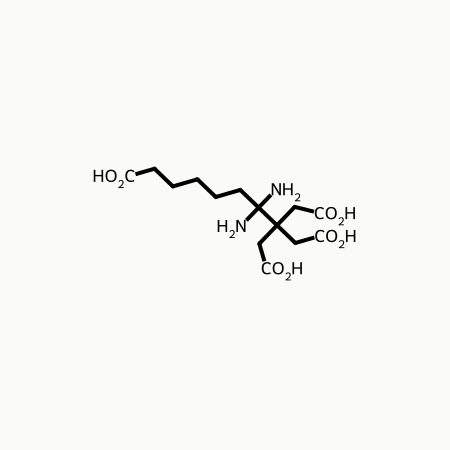 NC(N)(CCCCCC(=O)O)C(CC(=O)O)(CC(=O)O)CC(=O)O